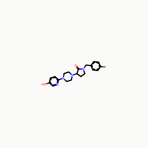 O=C1C(N2CCN(c3ccc(O)cn3)CC2)CCN1Cc1ccc(F)cc1